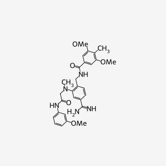 COc1cccc(NC(=O)CN(C)c2cc(C(=N)N)ccc2CNC(=O)c2cc(OC)c(C)c(OC)c2)c1